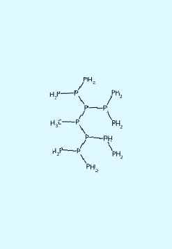 CP(P(PP)P(P)P)P(P(P)P)P(P)P